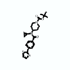 CC(C)(C)OC(=O)N1CCC(N(C(=O)c2ccc(-c3nccs3)cc2)C2CC2)CC1